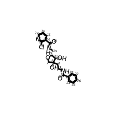 O=C(NCC[C@]1(O)CO[C@H](CNC(=O)c2cccnc2Cl)[C@H]1O)c1ccccc1